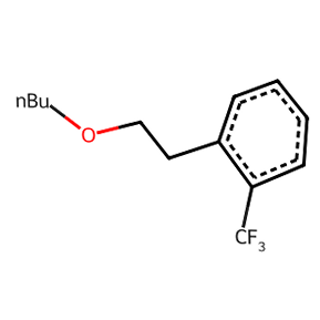 [CH2]CCCOCCc1ccccc1C(F)(F)F